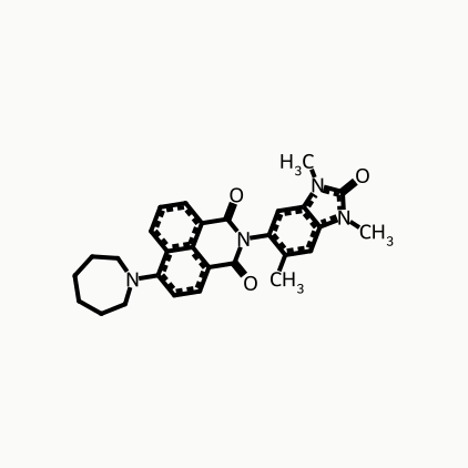 Cc1cc2c(cc1N1C(=O)c3cccc4c(N5CCCCCC5)ccc(c34)C1=O)n(C)c(=O)n2C